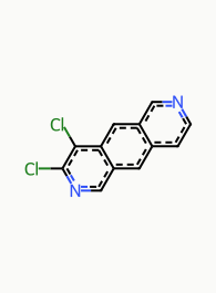 Clc1ncc2cc3ccncc3cc2c1Cl